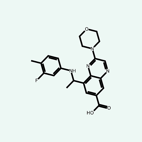 Cc1ccc(NC(C)c2cc(C(=O)O)cc3ncc(N4CCOCC4)nc23)cc1F